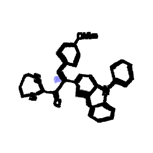 COc1ccc(/C=C(/C(=O)C2SCCCS2)c2ccc3c(c2)c2ccccc2n3-c2ccccc2)cc1